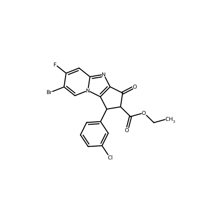 CCOC(=O)C1C(=O)c2nc3cc(F)c(Br)cn3c2C1c1cccc(Cl)c1